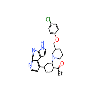 CCC(=O)C1CCC(c2ccnc3cnc4[nH]ccc4c23)CC1N1CCCC(COc2ccc(Cl)cc2)C1